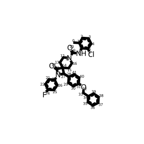 Cc1cccc(Cl)c1NC(=O)N1CCC2(CC1)C(=O)N(c1ccc(F)cc1)C2c1ccc(OCc2ccccc2)cc1